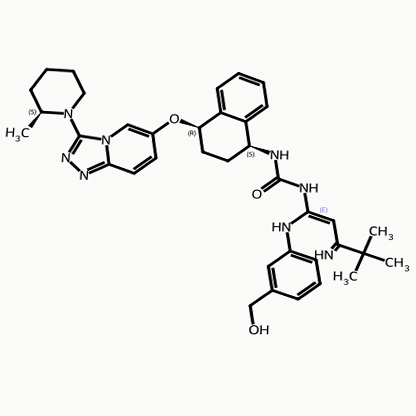 C[C@H]1CCCCN1c1nnc2ccc(O[C@@H]3CC[C@H](NC(=O)N/C(=C/C(=N)C(C)(C)C)Nc4cccc(CO)c4)c4ccccc43)cn12